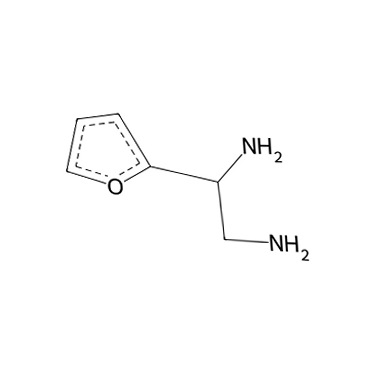 NCC(N)c1ccco1